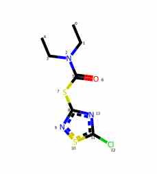 CCN(CC)C(=O)Sc1nsc(Cl)n1